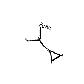 [CH2]OC(C)C1CC1